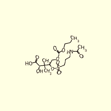 CCCOC(=O)OCC(OS(=O)(=O)CCCNC(C)=O)C(C)(C)[C@@H](O)C(=O)O